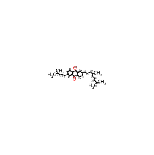 CC(C)=CCCc1ccc2c(c1)C(=O)c1ccc(CCCC(C)CCC=C(C)C)cc1C2=O